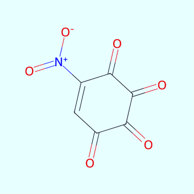 O=c1cc([N+](=O)[O-])c(=O)c(=O)c1=O